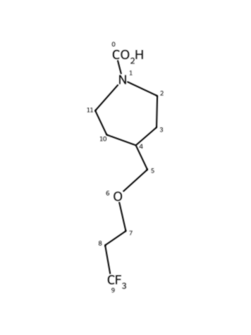 O=C(O)N1CCC(COCCC(F)(F)F)CC1